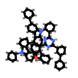 c1ccc(-c2cccc(-c3nc(-c4ccccc4-n4c5cc(-c6ccccc6)ccc5c5c(-c6cccc7c6c6ccccc6n7-c6ccccc6)cccc54)nc(-c4cccc5oc6ccccc6c45)n3)c2)cc1